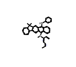 C=C/C(=C\C=C/C)N(C)c1c2ccccc2c(Nc2ccccc2)c2cc3c(cc12)-c1ccccc1C3(C)C